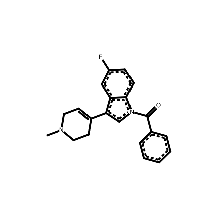 CN1CC=C(c2cn(C(=O)c3ccccc3)c3ccc(F)cc23)CC1